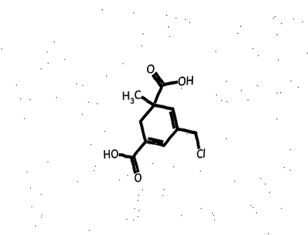 CC1(C(=O)O)C=C(CCl)C=C(C(=O)O)C1